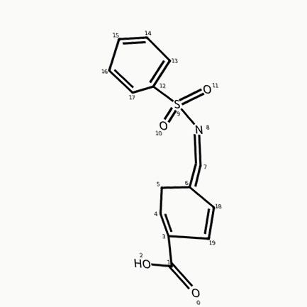 O=C(O)C1=CCC(=C=NS(=O)(=O)c2ccccc2)C=C1